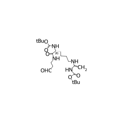 C=C(NCCCC[C@@H](NC(=O)OC(C)(C)C)C(=O)NCCC=O)NC(=O)OC(C)(C)C